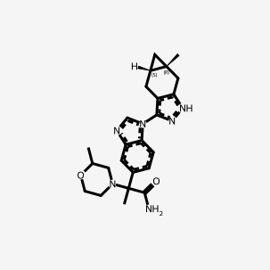 CC1CN(C(C)(C(N)=O)c2ccc3c(c2)ncn3-c2n[nH]c3c2C[C@@H]2C[C@]2(C)C3)CCO1